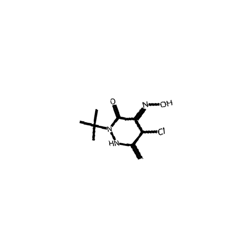 [CH]=C1NN(C(C)(C)C)C(=O)C(=NO)C1Cl